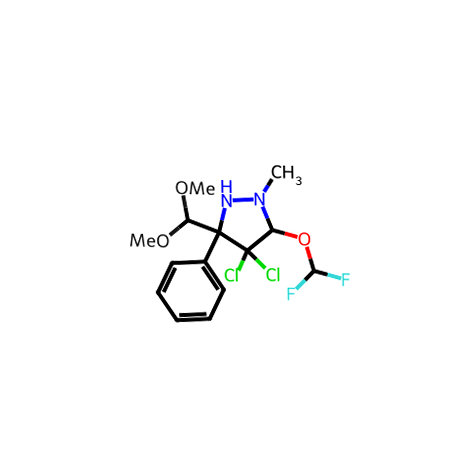 COC(OC)C1(c2ccccc2)NN(C)C(OC(F)F)C1(Cl)Cl